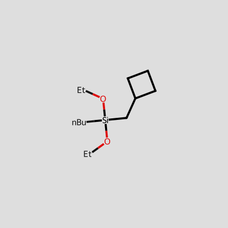 CCCC[Si](CC1CCC1)(OCC)OCC